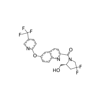 O=C(c1ccc2cc(Oc3ccc(C(F)(F)F)cn3)ccc2n1)N1CC(F)(F)C[C@H]1CO